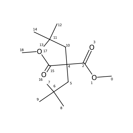 COC(=O)C(CC(C)(C)C)(CC(C)(C)C)C(=O)OC